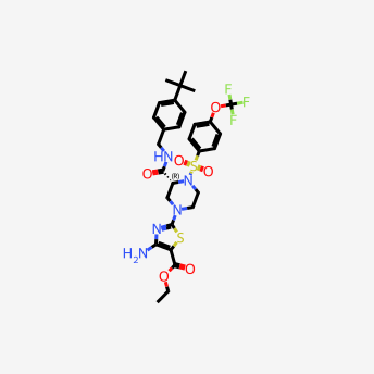 CCOC(=O)c1sc(N2CCN(S(=O)(=O)c3ccc(OC(F)(F)F)cc3)[C@@H](C(=O)NCc3ccc(C(C)(C)C)cc3)C2)nc1N